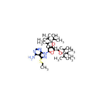 CCSc1nn([C@H]2C[C@H](O[Si](C(C)C)(C(C)C)C(C)C)[C@@H](CO[Si](C(C)C)(C(C)C)C(C)C)O2)c2ncnc(N)c12